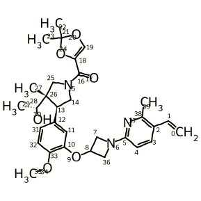 C=Cc1ccc(N2CC(Oc3cc([C@@H]4CN(C(=O)C5=COC(C)(C)O5)C[C@@]4(C)[C@@H](C)O)ccc3OC)C2)nc1C